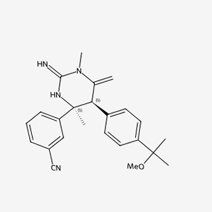 C=C1[C@@H](c2ccc(C(C)(C)OC)cc2)[C@@](C)(c2cccc(C#N)c2)NC(=N)N1C